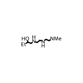 CCC(O)CNCCNCCNC